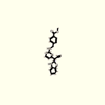 COC(=O)c1ccc(CNc2nccc(/C(C#N)=C3\Nc4ccccc4O3)n2)cc1